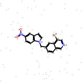 O=[N+]([O-])c1ccc2c(ccn2Cc2ccc3cncc(Br)c3c2)c1